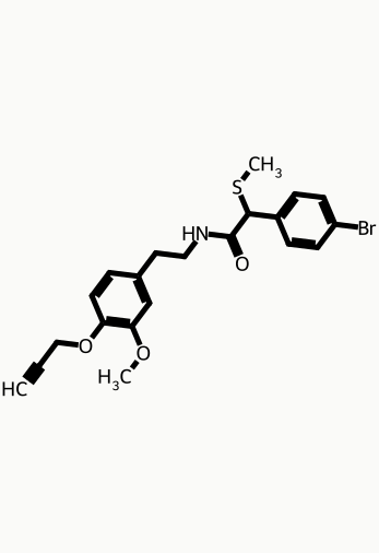 C#CCOc1ccc(CCNC(=O)C(SC)c2ccc(Br)cc2)cc1OC